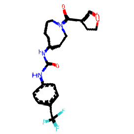 O=C(Nc1ccc(C(F)(F)F)cc1)NC1CCN(C(=O)C2=COCC2)CC1